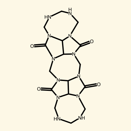 O=C1N2CNCNCN3C(=O)N4CN5C(=O)N6CNCNCN7C(=O)N(CN1C4C23)C5C76